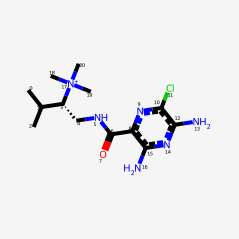 CC(C)[C@@H](CNC(=O)c1nc(Cl)c(N)nc1N)[N+](C)(C)C